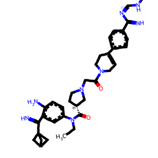 CCN(C(=O)[C@@H]1CCN(CC(=O)N2CC=C(c3ccc(C(=N)/N=C\NC)cc3)CC2)C1)c1ccc(N)c(C(=N)C23CC(C2)C3)c1